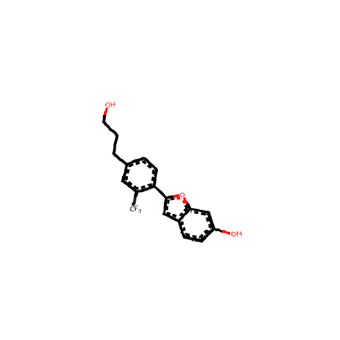 OCCCc1ccc(-c2cc3ccc(O)cc3o2)c(C(F)(F)F)c1